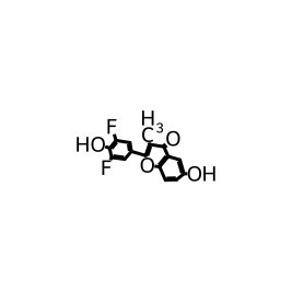 Cc1c(-c2cc(F)c(O)c(F)c2)oc2ccc(O)cc2c1=O